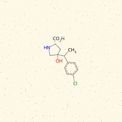 CC(c1ccc(Cl)cc1)C1(O)CN[C@H](C(=O)O)C1